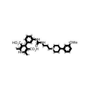 COc1cccc(C2CCN(CCCNC(=O)Nc3cccc(C4C(C(=O)O)=C(C)NC(C)=C4C(=O)O)c3)CC2)c1